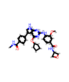 CNC(=O)c1ccc(-c2c[nH]c3nc(Nc4ccc(C(=O)NC5COC5)cc4OC)nc(OC4CCCC4)c23)cc1